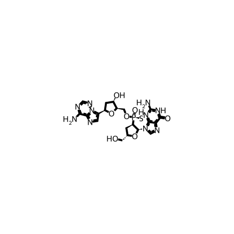 Nc1nc2c(ncn2[C@@H]2O[C@H](CO)C[C@H]2[P@](=O)(S)OC[C@H]2O[C@@H](c3cnc4c(N)ncnn34)C[C@@H]2O)c(=O)[nH]1